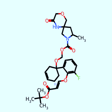 CC1CC2(COCC(=O)N2)CN1C(=O)OCOC1(c2cccc(F)c2O/C=C/C(=O)OC(C)(C)C)CC=CCC1